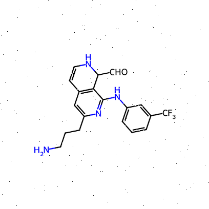 NCCCc1cc2c(c(Nc3cccc(C(F)(F)F)c3)n1)C(C=O)NC=C2